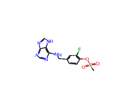 CS(=O)(=O)Oc1ccc(CNc2ncnc3nc[nH]c23)cc1F